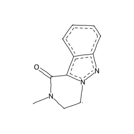 CN1C[CH]n2nc3ccccc3c2C1=O